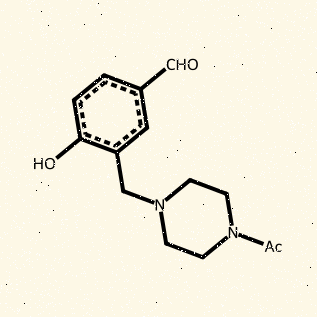 CC(=O)N1CCN(Cc2cc(C=O)ccc2O)CC1